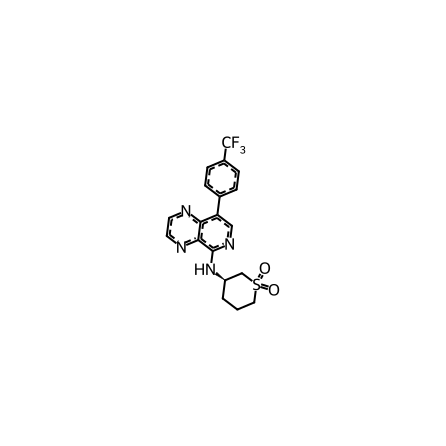 O=S1(=O)CCC[C@@H](Nc2ncc(-c3ccc(C(F)(F)F)cc3)c3nccnc23)C1